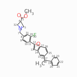 COC(=O)C1CN(Cc2ccc(-c3cc4cc(C(C)c5ccccc5)ccc4o3)c(F)c2)C1